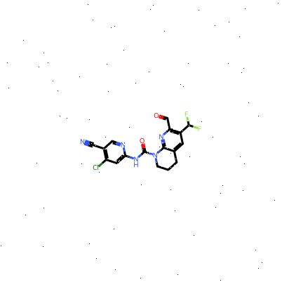 N#Cc1cnc(NC(=O)N2CCCc3cc(C(F)F)c(C=O)nc32)cc1Cl